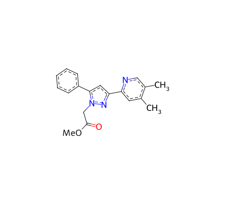 COC(=O)Cn1nc(-c2cc(C)c(C)cn2)cc1-c1ccccc1